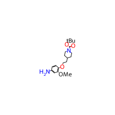 COc1cc(N)ccc1OCCC1CCN(C(=O)OC(C)(C)C)CC1